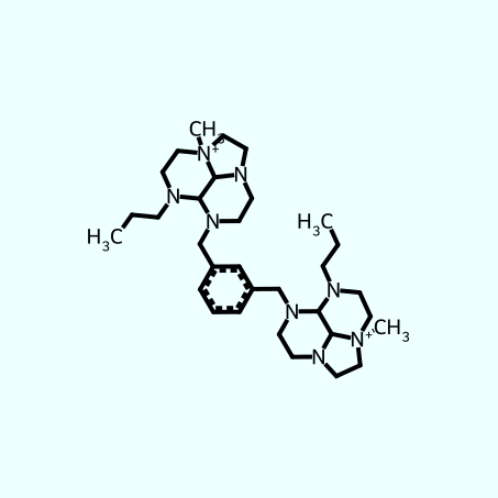 CCCN1CC[N+]2(C)CCN3CCN(Cc4cccc(CN5CCN6CC[N+]7(C)CCN(CCC)C5C67)c4)C1C32